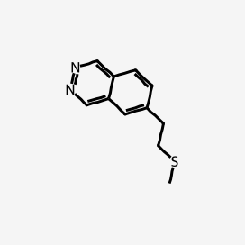 CSCCc1ccc2cnncc2c1